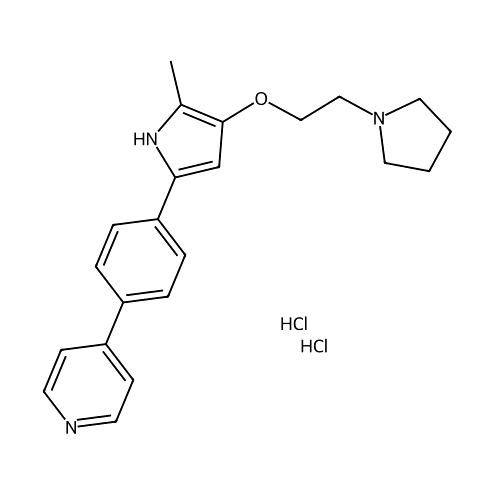 Cc1[nH]c(-c2ccc(-c3ccncc3)cc2)cc1OCCN1CCCC1.Cl.Cl